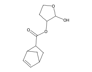 O=C(OC1CCOC1O)C1CC2C=CC1C2